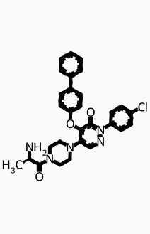 C[C@@H](N)C(=O)N1CCN(c2cnn(-c3ccc(Cl)cc3)c(=O)c2Oc2ccc(-c3ccccc3)cc2)CC1